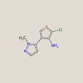 Cn1nccc1-c1csc(Cl)c1N